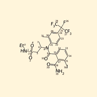 CCNS(=O)(=O)CC(C)N(C(=O)c1cccc(I)c1C(N)=O)c1ccc(C(F)(C(F)(F)F)C(F)(F)F)cc1C